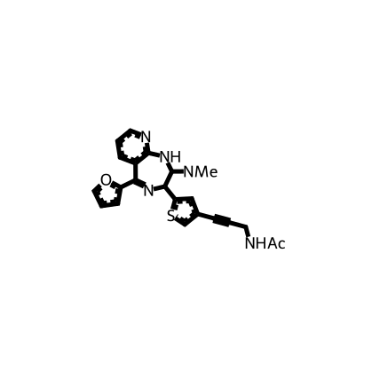 CNC1Nc2ncccc2C(c2ccco2)=NC1c1cc(C#CCNC(C)=O)cs1